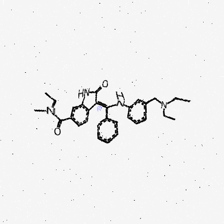 CCN(CC)Cc1cccc(N/C(=C2\C(=O)Nc3cc(C(=O)N(C)CC)ccc32)c2ccccc2)c1